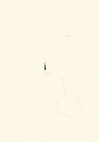 CC1(C)O[C@@H]([C@@H](N)CO)[C@@H](CCc2ccccc2)O1